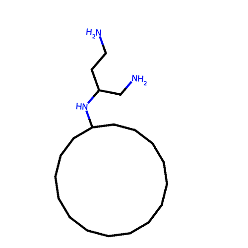 NCCC(CN)NC1CCCCCCCCCCCCCCC1